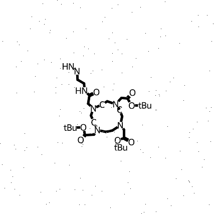 CC(C)(C)OC(=O)CN1CCN(CC(=O)NCCN=N)CCN(CC(=O)OC(C)(C)C)CCN(CC(=O)OC(C)(C)C)CC1